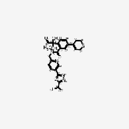 CN(Cc1ccc(-c2nnc(C(F)F)o2)cn1)C(=O)c1cc(C2=CCSCC2)ccc1C(C)(C)C=O